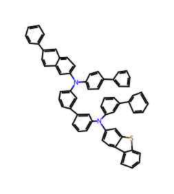 c1ccc(-c2ccc(N(c3cccc(-c4cccc(N(c5cccc(-c6ccccc6)c5)c5ccc6c(c5)sc5ccccc56)c4)c3)c3ccc4cc(-c5ccccc5)ccc4c3)cc2)cc1